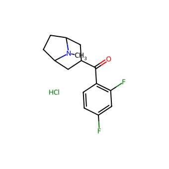 CN1C2CCC1CC(C(=O)c1ccc(F)cc1F)C2.Cl